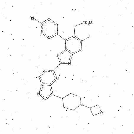 CCOC(=O)Cc1c(C)cc2nc(-c3ccn4ncc(C5CCN(C6COC6)CC5)c4n3)sc2c1-c1ccc(Cl)cc1